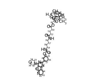 CC(C)(C)OC(COC(=O)CCCC(=O)NCCCCNC(=O)Oc1cccc(-c2nc(N3CCOCC3)c3oc4ncccc4c3n2)c1)OC(CO)C(C)(C)C